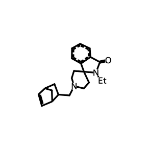 CCN1C(=O)c2ccccc2C12CCN(CC1CC3C=CC1C3)CC2